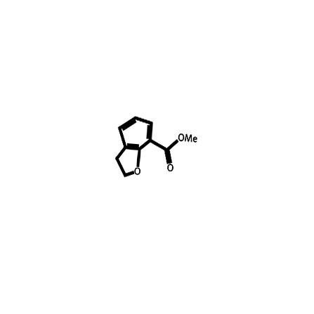 COC(=O)c1cccc2c1OCC2